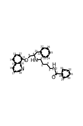 O=C(NCCCCNC(COc1cccc2cccnc12)Cc1ccccc1)c1ccccc1